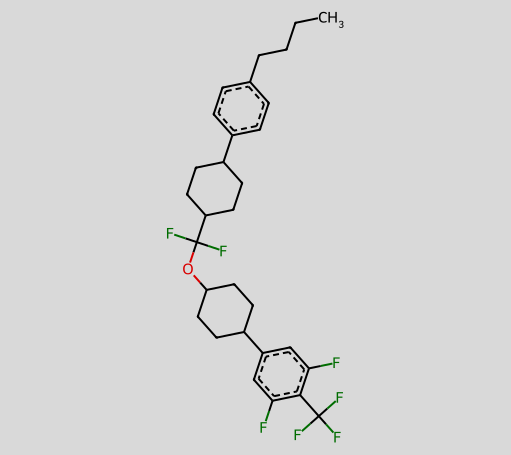 CCCCc1ccc(C2CCC(C(F)(F)OC3CCC(c4cc(F)c(C(F)(F)F)c(F)c4)CC3)CC2)cc1